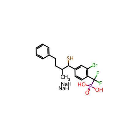 CC(CCc1ccccc1)C(S)c1ccc(C(F)(F)P(=O)(O)O)c(Br)c1.[NaH].[NaH]